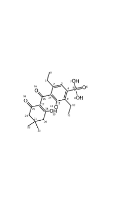 CCc1cc(P(=O)(O)O)c(CC)c(Cl)c1C(=O)C1=C(O)CC(C)(C)CC1=O